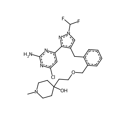 CN1CCC(O)(CCOCc2ccccc2Cc2cn(C(F)F)nc2-c2cc(Cl)nc(N)n2)CC1